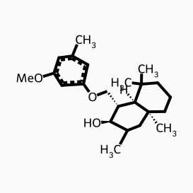 COc1cc(C)cc(OC[C@H]2[C@H](O)C(C)C[C@]3(C)CCCC(C)(C)[C@H]23)c1